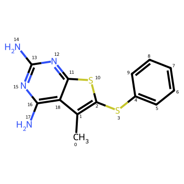 Cc1c(Sc2ccccc2)sc2nc(N)nc(N)c12